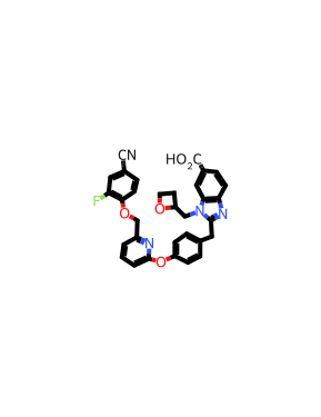 N#Cc1ccc(OCc2cccc(Oc3ccc(Cc4nc5ccc(C(=O)O)cc5n4CC4CCO4)cc3)n2)c(F)c1